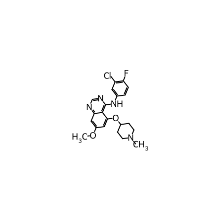 COc1cc(OC2CCN(C)CC2)c2c(Nc3ccc(F)c(Cl)c3)ncnc2c1